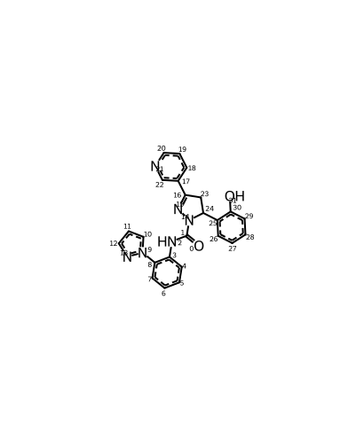 O=C(Nc1ccccc1-n1cccn1)N1N=C(c2cccnc2)CC1c1ccccc1O